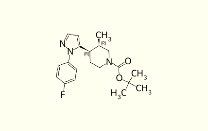 C[C@H]1CN(C(=O)OC(C)(C)C)CC[C@H]1c1ccnn1-c1ccc(F)cc1